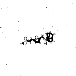 COC(=O)/C=C/c1ccc(CNC23CC4CC(CC(C4)C2)C3)o1